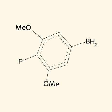 Bc1cc(OC)c(F)c(OC)c1